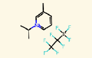 Cc1ccc[n+](C(C)C)c1.F[B-](F)(F)C(F)(F)C(F)(F)F